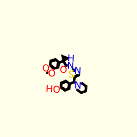 O=C(Nc1ncc(C(c2ccc(O)cc2)N2CCCCC2)s1)C1(c2ccc3c(c2)OCO3)CC1